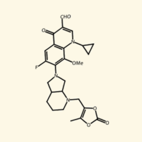 COc1c(N2CC3CCCN(Cc4oc(=O)oc4C)C3C2)c(F)cc2c(=O)c(C=O)cn(C3CC3)c12